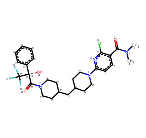 CN(C)C(=O)c1ccc(N2CCC(CC3CCN(C(=O)[C@](O)(c4ccccc4)C(F)(F)F)CC3)CC2)nc1Cl